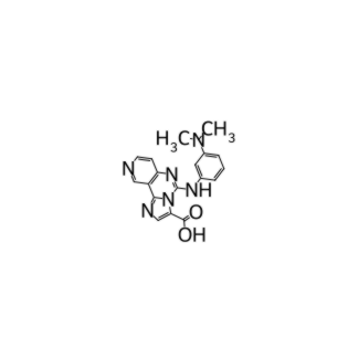 CN(C)c1cccc(Nc2nc3ccncc3c3ncc(C(=O)O)n23)c1